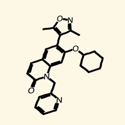 Cc1noc(C)c1-c1cc2ccc(=O)n(Cc3ccccn3)c2cc1OC1CCCCC1